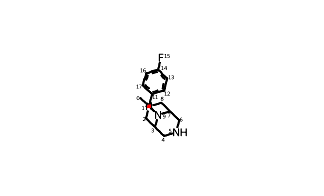 CN1CC2CNCC(C1)N2Cc1ccc(F)cc1